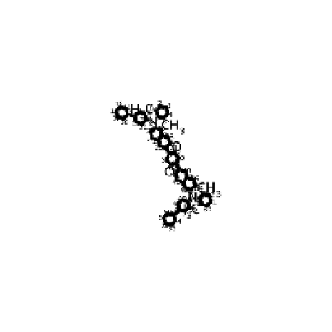 Cc1cccc(C)c1N(c1ccc(-c2ccccc2)cc1)c1ccc2cc3c(cc2c1)oc1cc2c(cc13)oc1cc3cc(N(c4ccc(-c5ccccc5)cc4)c4c(C)cccc4C)ccc3cc12